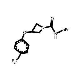 CCCNC(=O)N1CC(Oc2ccc(C(F)(F)F)cc2)C1